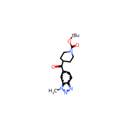 Cn1nnc2ccc(C(=O)C3CCN(C(=O)OC(C)(C)C)CC3)cc21